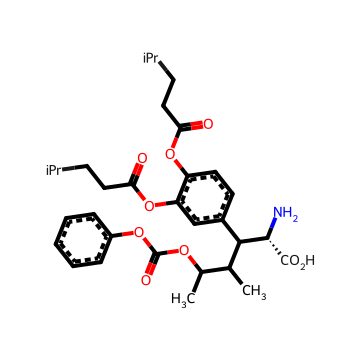 CC(C)CCC(=O)Oc1ccc(C(C(C)C(C)OC(=O)Oc2ccccc2)[C@H](N)C(=O)O)cc1OC(=O)CCC(C)C